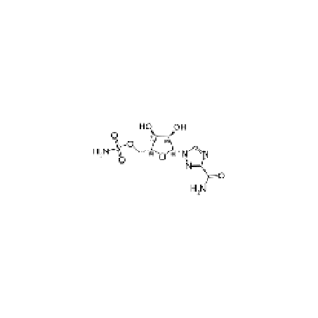 NC(=O)c1ncn([C@@H]2O[C@H](COS(N)(=O)=O)[C@@H](O)[C@H]2O)n1